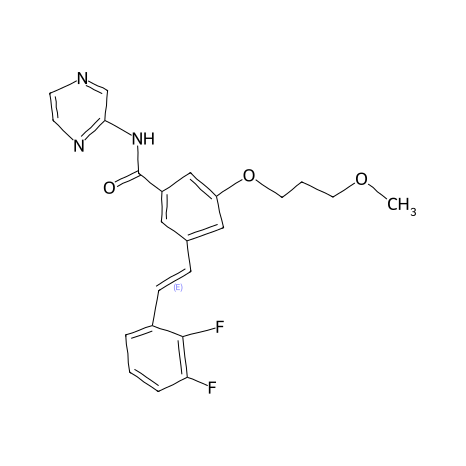 COCCCOc1cc(/C=C/c2cccc(F)c2F)cc(C(=O)Nc2cnccn2)c1